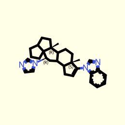 C[C@]12CCC3C(C[C@@H](n4ccnc4)C45CCCC4CC[C@]35C)C1CC=C2n1cnc2ccccc21